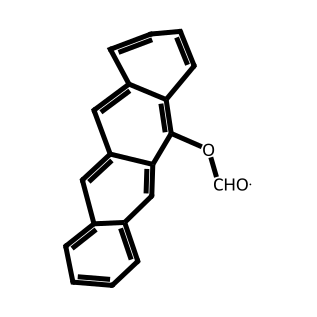 O=[C]Oc1c2ccccc2cc2cc3ccccc3cc12